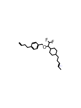 C=CCCc1ccc(COC(C(F)F)C2CCC(CC/C=C/C)CC2)cc1